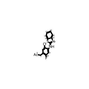 CC(=O)Cc1cc(Cl)c(Nc2nc3ccccc3s2)cc1F